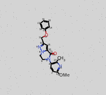 COc1ccc(N2CCn3nc(COc4ccccc4)cc3C2=O)c(C)n1